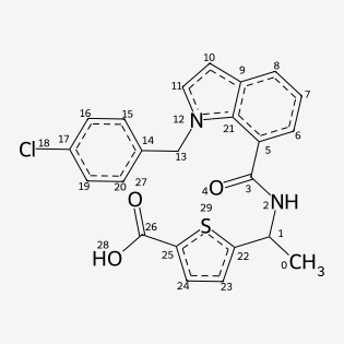 CC(NC(=O)c1cccc2ccn(Cc3ccc(Cl)cc3)c12)c1ccc(C(=O)O)s1